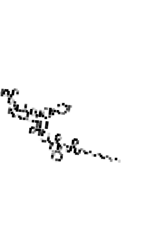 CCCCCCCCCCOC(=O)OCn1c(=O)c(C2CCN(C(=O)NC(Cc3cc(C)c4c(cnn4COC(=O)O)c3)C(=O)N3CCN(C4CCN(C)CC4)CC3)CC2)cc2ccccc21